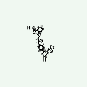 CCC(=O)ON1CCNCC1c1ccc(CC(=O)CCCc2ccccc2N(C)C)cc1